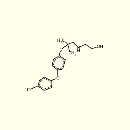 CC(C)(CNCCO)Sc1ccc(Oc2ccc(Cl)cc2)cc1